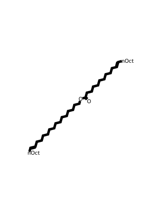 CCCCCCCCC=CCCCCCCCCCCCCCCOC(=O)CCCCCCCCCC=CCCCCCCCC